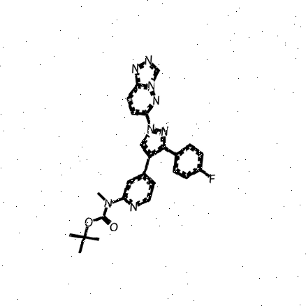 CN(C(=O)OC(C)(C)C)c1cc(-c2cn(-c3ccc4nncn4n3)nc2-c2ccc(F)cc2)ccn1